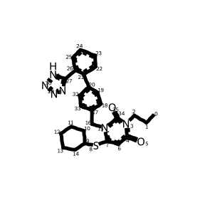 CCCn1c(=O)cc(SC2CCCCC2)n(Cc2ccc(-c3ccccc3-c3nnn[nH]3)cc2)c1=O